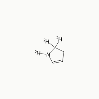 [2H]N1C=CCC1([2H])[2H]